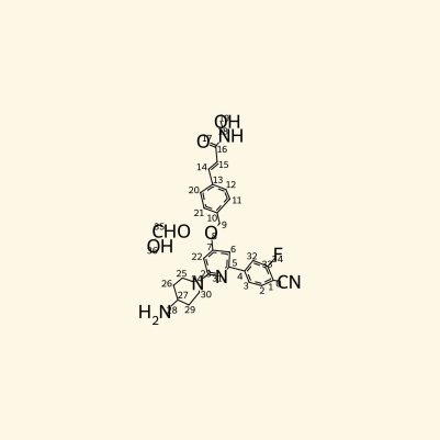 N#Cc1ccc(-c2cc(OCc3ccc(/C=C/C(=O)NO)cc3)cc(N3CCC(N)CC3)n2)cc1F.O=CO